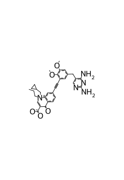 CCC[N+]1(CC2CC2)C=C(C(=O)[O-])C(=O)c2ccc(C#Cc3cc(Cc4cnc(N)nc4N)cc(OC)c3OC)cc21